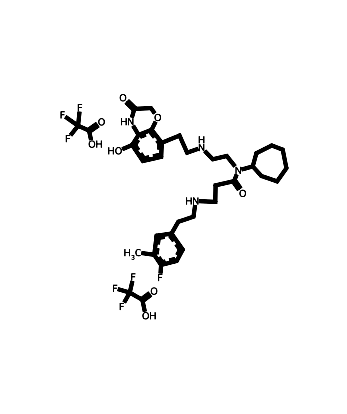 Cc1cc(CCNCCC(=O)N(CCNCCc2ccc(O)c3c2OCC(=O)N3)C2CCCCCC2)ccc1F.O=C(O)C(F)(F)F.O=C(O)C(F)(F)F